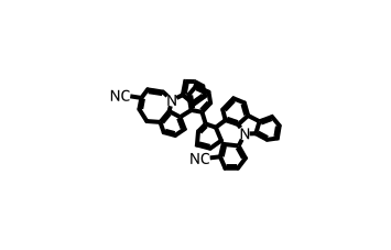 N#CC1=C/Cc2cccc(-c3ccccc3C3=CC=CCC3c3cccc4c5ccccc5n(-c5cccc(C#N)c5)c34)c2N(c2ccccc2)/C=C\1